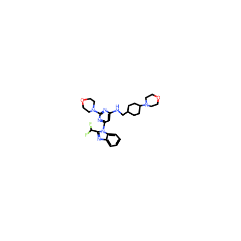 FC(F)c1nc2ccccc2n1-c1cc(NCC2CCC(N3CCOCC3)CC2)nc(N2CCOCC2)n1